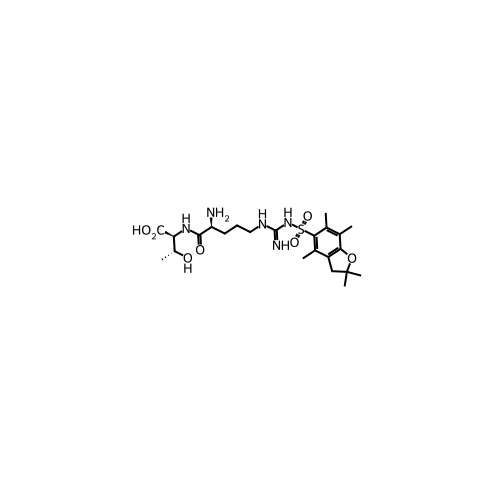 Cc1c(C)c(S(=O)(=O)NC(=N)NCCC[C@H](N)C(=O)N[C@H](C(=O)O)[C@@H](C)O)c(C)c2c1OC(C)(C)C2